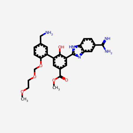 COCCOCOc1ccc(CN)cc1-c1cc(C(=O)OC)cc(-c2nc3cc(C(=N)N)ccc3[nH]2)c1O